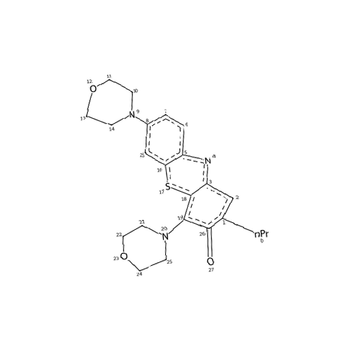 CCCc1cc2nc3ccc(N4CCOCC4)cc3sc-2c(N2CCOCC2)c1=O